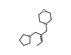 CC=C(CN1CCCC1)CN1CCOCC1